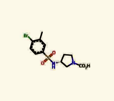 Cc1cc(S(=O)(=O)N[C@@H]2CCN(C(=O)O)C2)ccc1Br